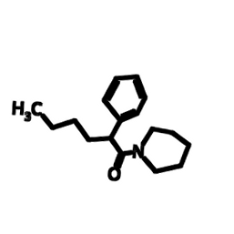 CCCCC(C(=O)N1CCCCC1)c1ccccc1